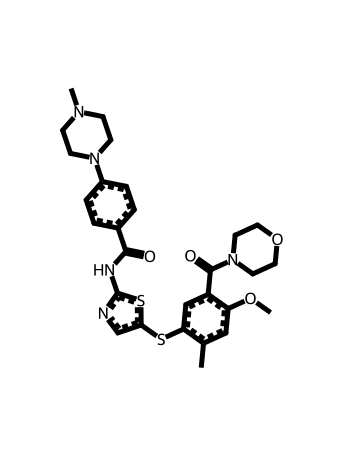 COc1cc(C)c(Sc2cnc(NC(=O)c3ccc(N4CCN(C)CC4)cc3)s2)cc1C(=O)N1CCOCC1